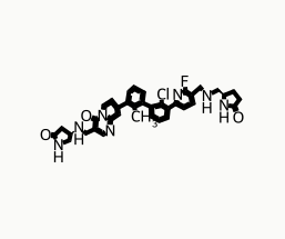 Cc1c(-c2ccn3c(=O)c(CN[C@@H]4CNC(=O)C4)cnc3c2)cccc1-c1cccc(-c2ccc(CNC[C@H]3CCC(=O)N3)c(F)n2)c1Cl